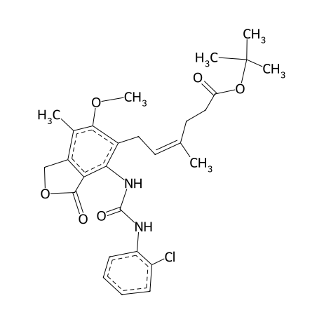 COc1c(C)c2c(c(NC(=O)Nc3ccccc3Cl)c1CC=C(C)CCC(=O)OC(C)(C)C)C(=O)OC2